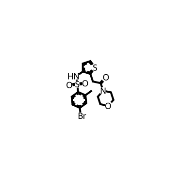 Cc1cc(Br)ccc1S(=O)(=O)Nc1ccsc1CC(=O)N1CCOCC1